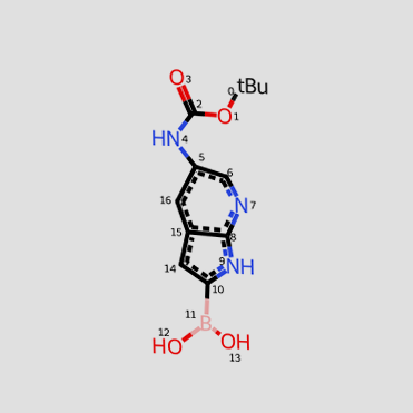 CC(C)(C)OC(=O)Nc1cnc2[nH]c(B(O)O)cc2c1